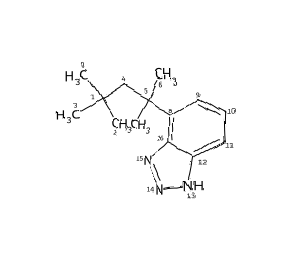 CC(C)(C)CC(C)(C)c1cccc2[nH]nnc12